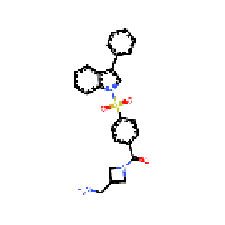 NCC1CN(C(=O)c2ccc(S(=O)(=O)n3cc(-c4ccccc4)c4ccccc43)cc2)C1